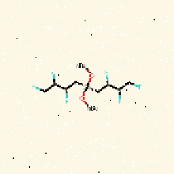 CCCC[O][Sn]([CH2]C(F)C(F)CF)([CH2]C(F)C(F)CF)[O]CCCC